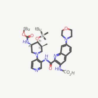 C[C@H]1CN(c2ccncc2NC(=O)c2nc3cc(N4CCOCC4)ccc3cc2NC(=O)O)C[C@@H](NC(=O)OC(C)(C)C)[C@@H]1O[Si](C)(C)C(C)(C)C